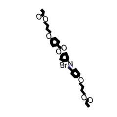 C=CC(=O)OCCCCOc1ccc(/C=N/c2ccc(OC(=O)c3ccc(OCCCCOC(=O)C=C)cc3)cc2Br)cc1